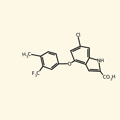 Cc1ccc(Oc2cc(Cl)cc3[nH]c(C(=O)O)cc23)cc1C(F)(F)F